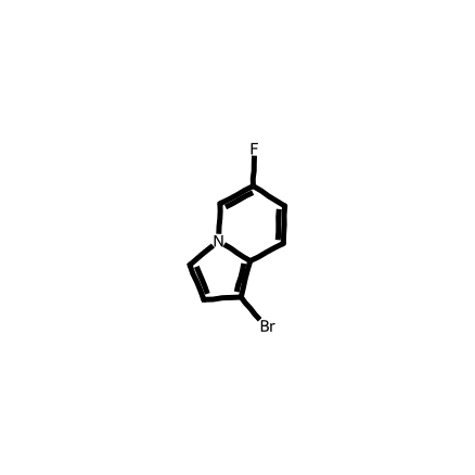 Fc1ccc2c(Br)ccn2c1